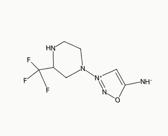 [NH-]c1c[n+](N2CCNC(C(F)(F)F)C2)no1